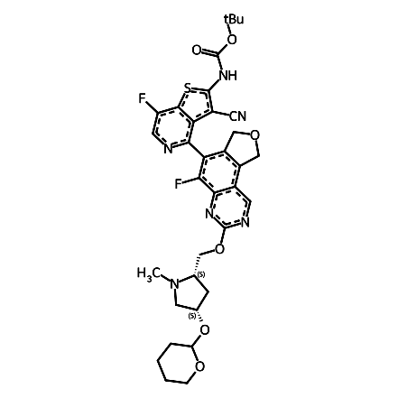 CN1C[C@@H](OC2CCCCO2)C[C@H]1COc1ncc2c3c(c(-c4ncc(F)c5sc(NC(=O)OC(C)(C)C)c(C#N)c45)c(F)c2n1)COC3